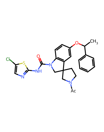 CC(=O)N1CCC2(C1)CN(C(=O)Nc1ncc(Cl)s1)c1ccc(OC(C)c3ccccc3)cc12